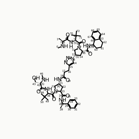 CN[C@@H](C)C(=O)N[C@H](C(=O)N1C[C@@H](n2cc(CCC(=O)N[C@@H]3CC(C(=O)N[C@H](C)c4ccccc4)N(C(=O)C(NC(=O)[C@H](CO)NC)C(C)(C)C)C3)nn2)C[C@H]1C(=O)N[C@@H]1CCCc2ccccc21)C(C)(C)C